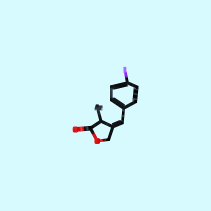 CC(=O)C1C(=O)OCC1=Cc1ccc(I)cc1